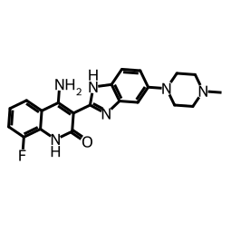 CN1CCN(c2ccc3[nH]c(-c4c(N)c5cccc(F)c5[nH]c4=O)nc3c2)CC1